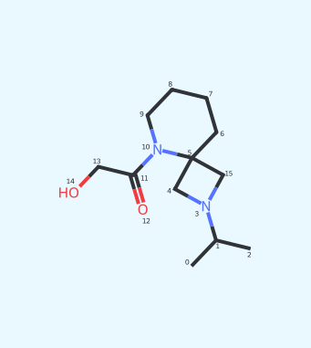 CC(C)N1CC2(CCCCN2C(=O)CO)C1